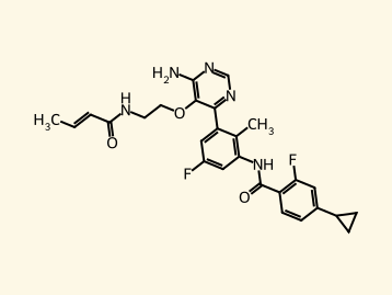 CC=CC(=O)NCCOc1c(N)ncnc1-c1cc(F)cc(NC(=O)c2ccc(C3CC3)cc2F)c1C